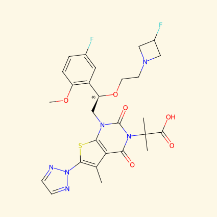 COc1ccc(F)cc1[C@H](Cn1c(=O)n(C(C)(C)C(=O)O)c(=O)c2c(C)c(-n3nccn3)sc21)OCCN1CC(F)C1